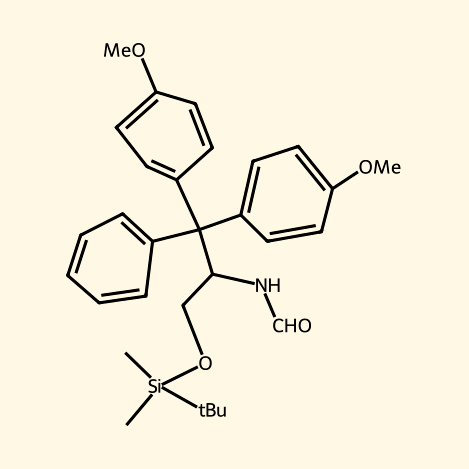 COc1ccc(C(c2ccccc2)(c2ccc(OC)cc2)C(CO[Si](C)(C)C(C)(C)C)NC=O)cc1